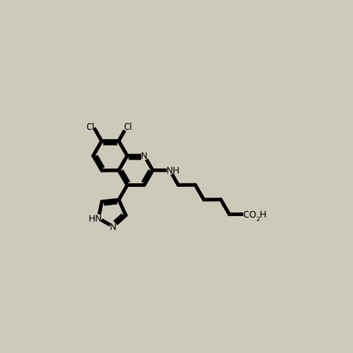 O=C(O)CCCCCNc1cc(-c2cn[nH]c2)c2ccc(Cl)c(Cl)c2n1